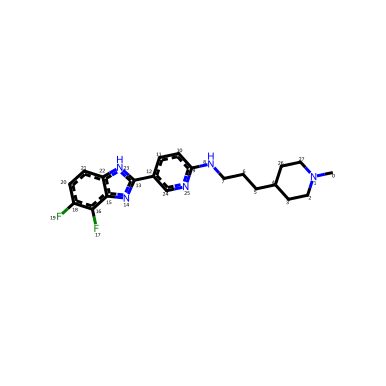 CN1CCC(CCCNc2ccc(-c3nc4c(F)c(F)ccc4[nH]3)cn2)CC1